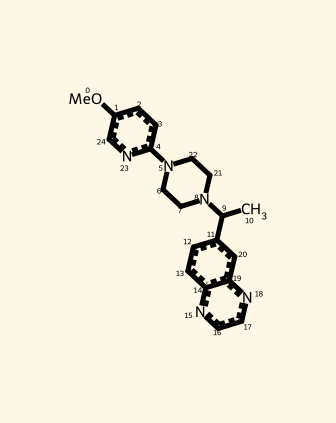 COc1ccc(N2CCN(C(C)c3ccc4nccnc4c3)CC2)nc1